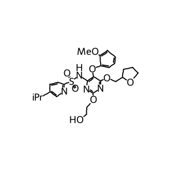 COc1ccccc1Oc1c(NS(=O)(=O)c2ccc(C(C)C)cn2)nc(OCCO)nc1OCC1CCCO1